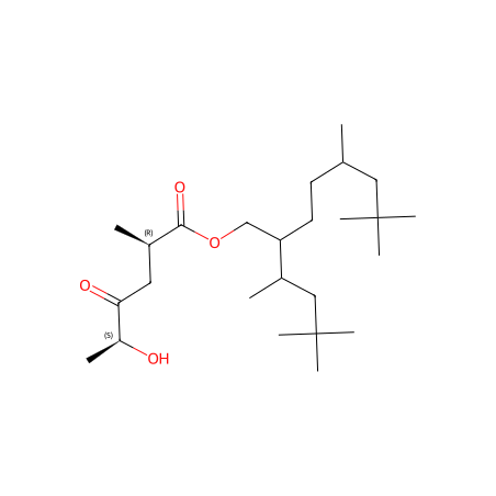 CC(CCC(COC(=O)[C@H](C)CC(=O)[C@H](C)O)C(C)CC(C)(C)C)CC(C)(C)C